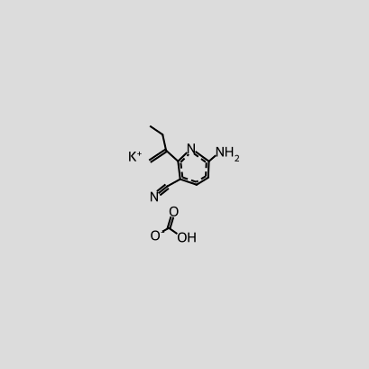 C=C(CC)c1nc(N)ccc1C#N.O=C([O-])O.[K+]